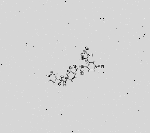 N#Cc1ccc(NC(=O)c2noc3cc(NS(=O)(=O)c4ccccc4)ccc23)c(-c2noc(=O)[nH]2)c1